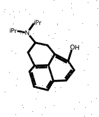 CC(C)N(C(C)C)C1Cc2cccc3ccc(O)c(c23)C1